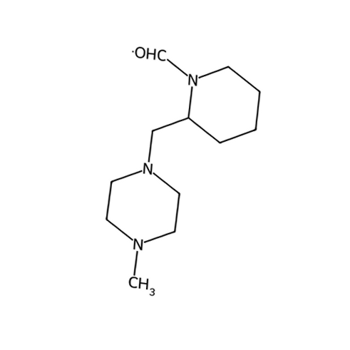 CN1CCN(CC2CCCCN2[C]=O)CC1